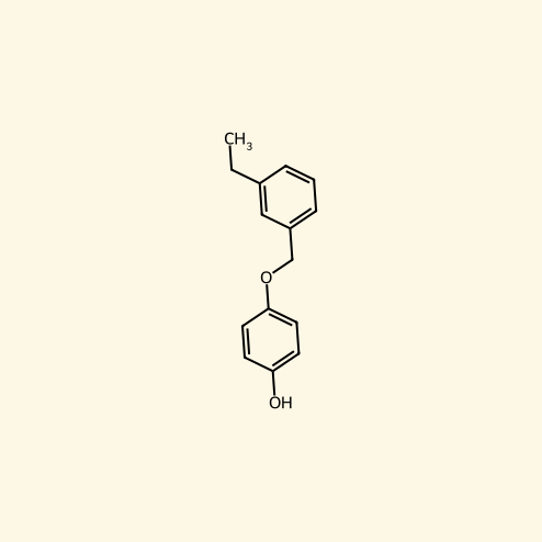 CCc1cccc(COc2ccc(O)cc2)c1